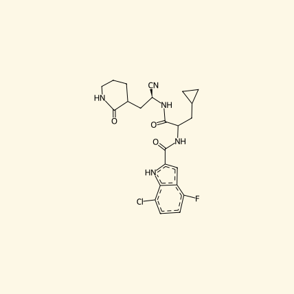 N#C[C@H](CC1CCCNC1=O)NC(=O)C(CC1CC1)NC(=O)c1cc2c(F)ccc(Cl)c2[nH]1